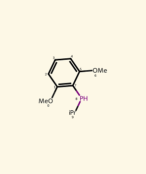 COc1cccc(OC)c1PC(C)C